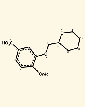 COc1ccc(C(=O)O)cc1OCC1CCCCO1